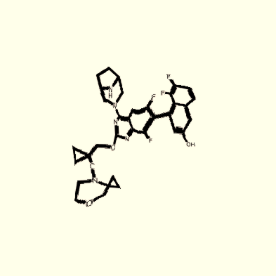 Oc1cc(-c2c(F)cc3c(N4CC5CCC(C4)N5)nc(OCC4(CN5CCOCC56CC6)CC4)nc3c2F)c2c(F)c(F)ccc2c1